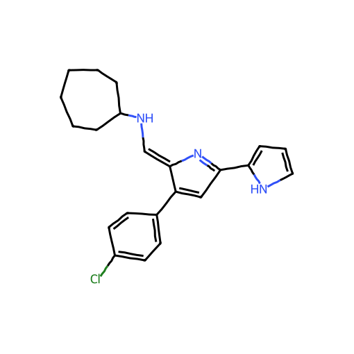 Clc1ccc(C2=CC(c3ccc[nH]3)=N/C2=C\NC2CCCCCC2)cc1